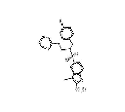 CCOC(=O)c1oc2ccc(S(=O)(=O)N(CCc3ccccc3)Cc3ccc(F)cc3)cc2c1C